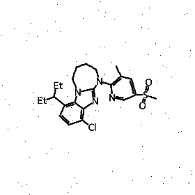 CCC(CC)c1ccc(Cl)c2nc3n(c12)CCCCN3c1ncc(S(C)(=O)=O)cc1C